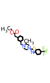 CCOC(=O)Cc1cccc(CN2CCN(c3nc4ccc(C(F)(F)F)cc4s3)CC2C)c1